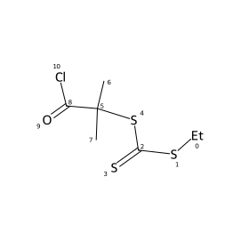 CCSC(=S)SC(C)(C)C(=O)Cl